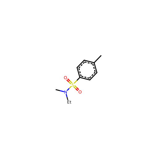 [CH2]CN(C)S(=O)(=O)c1ccc(C)cc1